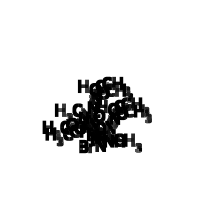 CCc1[nH]c2nc(Br)nn2c(=O)c1N1CCN(C(=O)OC(C)(C)C)CC1.CCc1c(N2CCN(C(=O)OC(C)(C)C)CC2)c(=O)n2nc(Br)nc2n1CC(=O)OC(C)(C)C